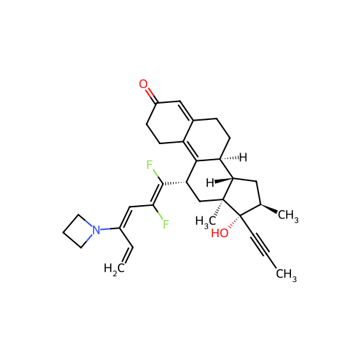 C=C/C(=C\C(F)=C(/F)[C@H]1C[C@@]2(C)[C@@H](C[C@@H](C)[C@@]2(O)C#CC)[C@@H]2CCC3=CC(=O)CCC3=C21)N1CCC1